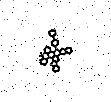 C[Si]1(C)c2ccccc2N2c3c(cccc31)B1c3c(cc4c(oc5ccccc54)c32)-c2cc3ccccc3cc2N1c1ccc(-c2ccccc2)cc1